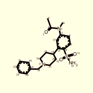 CC(=O)N(C)c1ccc(S(N)(=O)=O)c(C2CCN(Cc3ccccc3)CC2)c1